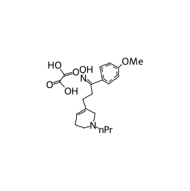 CCCN1CCC=C(CCC(=NO)c2ccc(OC)cc2)C1.O=C(O)C(=O)O